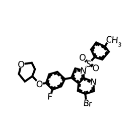 Cc1ccc(S(=O)(=O)n2cc(-c3ccc(OC4CCOCC4)c(F)c3)c3cc(Br)cnc32)cc1